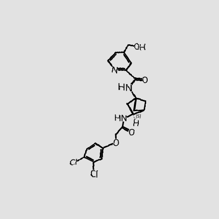 O=C(COc1ccc(Cl)c(Cl)c1)N[C@H]1CC2(NC(=O)c3cc(CO)ccn3)CC1C2